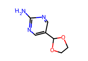 Nc1ncc(C2OCCO2)cn1